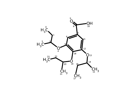 CCC(C)Oc1cc(C(=O)O)cc(OC(C)CC)c1OC(C)CC